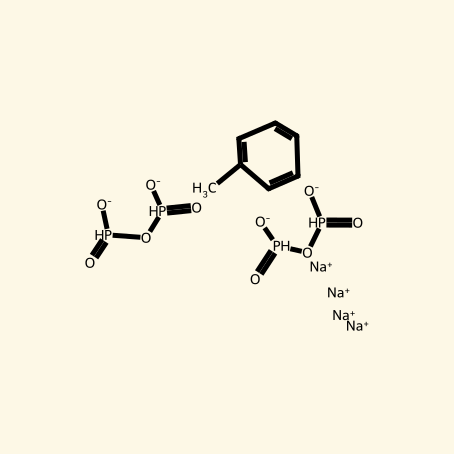 Cc1ccccc1.O=[PH]([O-])O[PH](=O)[O-].O=[PH]([O-])O[PH](=O)[O-].[Na+].[Na+].[Na+].[Na+]